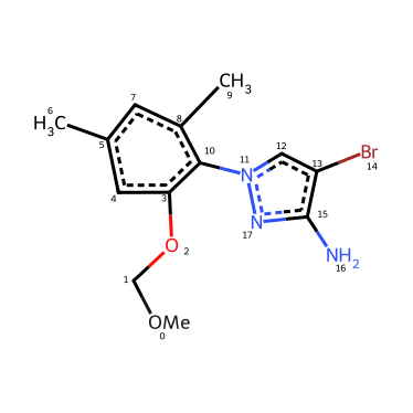 COCOc1cc(C)cc(C)c1-n1cc(Br)c(N)n1